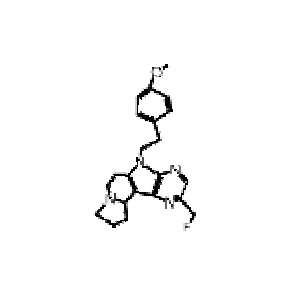 COc1ccc(CCn2c3c(c4nc(CF)cnc42)C2CCCN2CC3)cc1